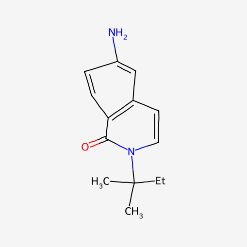 CCC(C)(C)n1ccc2cc(N)ccc2c1=O